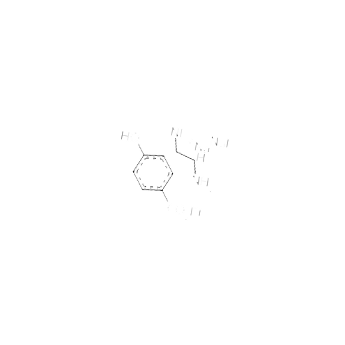 CCOC(=O)c1ccc(O)cc1.NCCN.[NaH].[NaH]